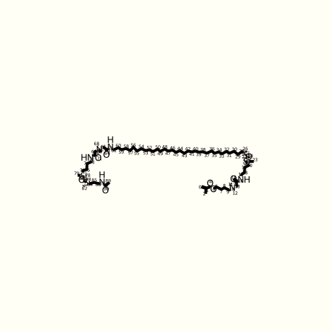 C=C(C)C(=O)OCCCC[N+](C)(C)CC(=O)NCCCC[Si](C)(C)O[Si](C)(C)CCCCCCCCCCCCCCCCCCCCCCCCCCCCCCCCCCNC(=O)C[N+](C)(C)CC(=O)NCCCC[Si](C)(C)O[Si](C)(C)CCCNC(C)=O